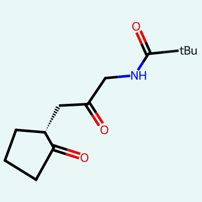 CC(C)(C)C(=O)NCC(=O)C[C@H]1CCCC1=O